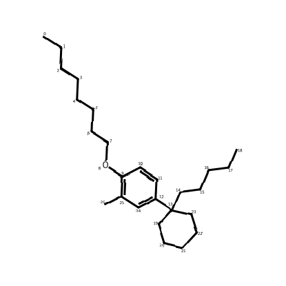 CCCCCCCCOc1ccc(C2(CCCCC)CCCCC2)cc1C